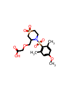 COc1cc(C)c(S(=O)(=O)N2CCS(=O)(=O)CC2COCC(=O)O)c(C)c1